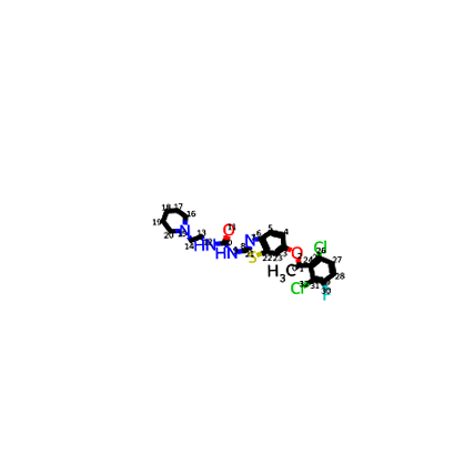 CC(Oc1ccc2nc(NC(=O)NCCN3CCCCC3)sc2c1)c1c(Cl)ccc(F)c1Cl